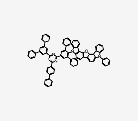 C1=CCC(c2cc(-c3ccccc3)cc(-c3nc(-c4ccc(-c5ccccc5)cc4)nc(-c4cc(C5=CCCC=C5)c(-n5c6ccccc6c6c7oc8c(ccc9c8c8ccccc8n9-c8ccccc8)c7ccc65)c(-c5ccccc5)c4)n3)c2)C=C1